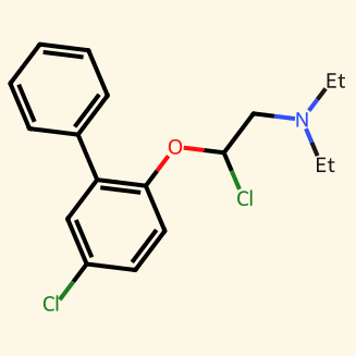 CCN(CC)CC(Cl)Oc1ccc(Cl)cc1-c1ccccc1